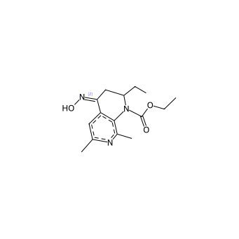 CCOC(=O)N1c2c(cc(C)nc2C)/C(=N\O)CC1CC